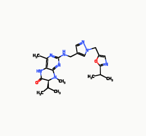 Cc1nc(NCc2cnn(Cc3cnc(C(C)C)o3)c2)nc2c1NC(=O)[C@H](C(C)C)N2C